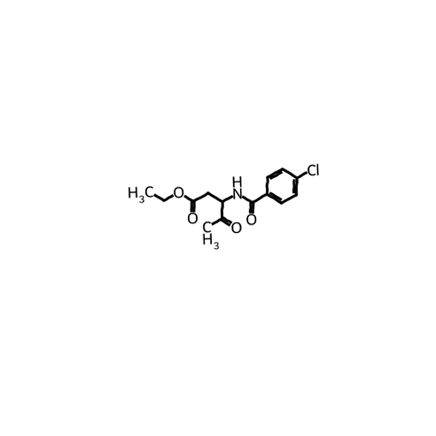 CCOC(=O)CC(NC(=O)c1ccc(Cl)cc1)C(C)=O